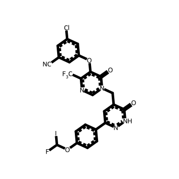 N#Cc1cc(Cl)cc(Oc2c(C(F)(F)F)ncn(Cc3cc(-c4ccc(OC(F)I)cc4)n[nH]c3=O)c2=O)c1